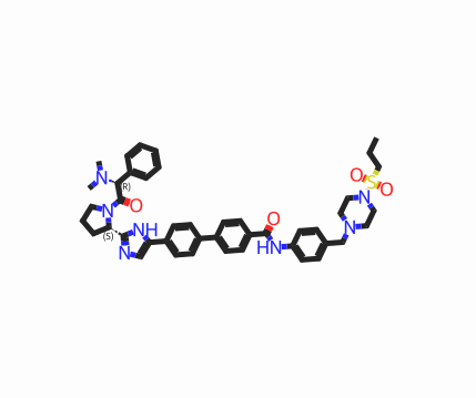 CCCS(=O)(=O)N1CCN(Cc2ccc(NC(=O)c3ccc(-c4ccc(-c5cnc([C@@H]6CCCN6C(=O)[C@@H](c6ccccc6)N(C)C)[nH]5)cc4)cc3)cc2)CC1